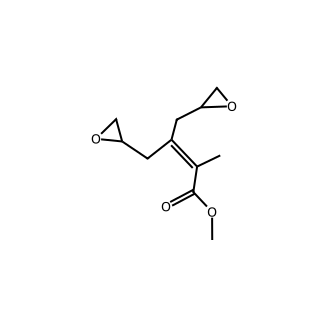 COC(=O)C(C)=C(CC1CO1)CC1CO1